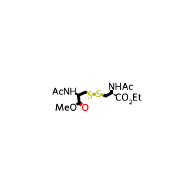 CCOC(=O)[C@H](CSSC[C@H](NC(C)=O)C(=O)OC)NC(C)=O